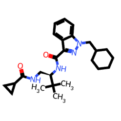 CC(C)(C)[C@@H](CNC(=O)C1CC1)NC(=O)c1nn(CC2CCCCC2)c2ccccc12